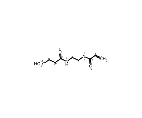 C=CC(=O)NCCNC(=O)CCC(=O)O